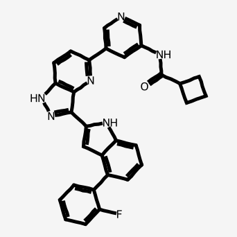 O=C(Nc1cncc(-c2ccc3[nH]nc(-c4cc5c(-c6ccccc6F)cccc5[nH]4)c3n2)c1)C1CCC1